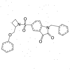 O=C1C(=O)N(Cc2ccccc2)c2ccc(S(=O)(=O)N3CCC3COc3ccccc3)cc21